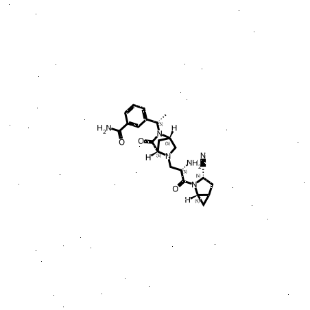 C[C@@H](c1cccc(C(N)=O)c1)N1C(=O)[C@@H]2C[C@H]1CN2C[C@H](N)C(=O)N1[C@H](C#N)CC2C[C@@H]21